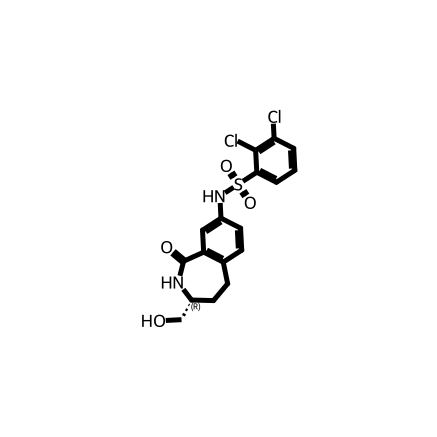 O=C1N[C@@H](CO)CCc2ccc(NS(=O)(=O)c3cccc(Cl)c3Cl)cc21